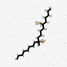 CCCCCCCCC(C)(Br)C[CH]CCC(Br)CCCCC